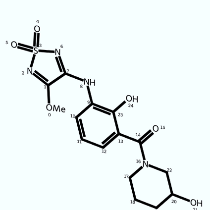 COC1=NS(=O)(=O)N=C1Nc1cccc(C(=O)N2CCCC(O)C2)c1O